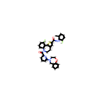 Cc1cccc(F)c1NC(=O)c1cc2c(s1)-c1c(F)cccc1N(C(=O)c1cccc(N3CCOc4ccccc4C3)n1)CC2